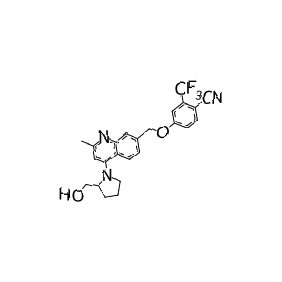 Cc1cc(N2CCCC2CO)c2ccc(COc3ccc(C#N)c(C(F)(F)F)c3)cc2n1